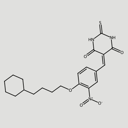 O=C1NC(=S)NC(=O)C1=Cc1ccc(OCCCCC2CCCCC2)c([N+](=O)[O-])c1